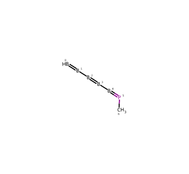 B=BB=BB=PC